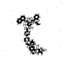 C[CH]C(=O)N[C@H](C(=O)N1C[C@@H](NC(=O)c2cnc(N3CCN(CCOc4cc5ncnc(Nc6n[nH]c(C)c6C)c5cc4S(=O)(=O)C(C)(C)C)CC3)cn2)C[C@H]1C(=O)N[C@@H]1CCCc2ccccc21)C1CCCCC1